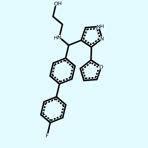 OCCNC(c1ccc(-c2ccc(F)cc2)cc1)c1c[nH]nc1-c1ccco1